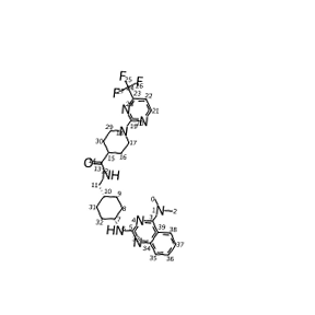 CN(C)c1nc(N[C@H]2CC[C@@H](CNC(=O)C3CCN(c4nccc(C(F)(F)F)n4)CC3)CC2)nc2ccccc12